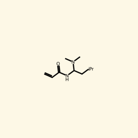 C=CC(=O)NC(CC(C)C)N(C)C